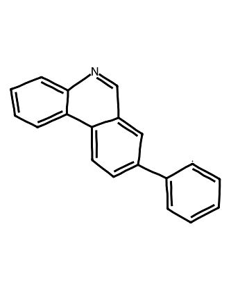 [c]1ccccc1-c1ccc2c(cnc3ccccc32)c1